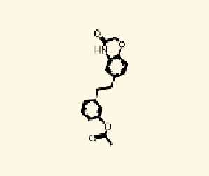 CC(=O)Oc1cccc(CCc2ccc3c(c2)NC(=O)CO3)c1